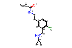 COC(=O)NCCc1ccc(Cl)c(CNC2CC2)c1